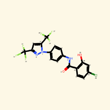 O=C(Nc1ccc(-n2nc(C(F)(F)F)cc2C(F)(F)F)cc1)c1ccc(Cl)cc1O